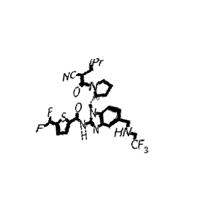 CC(C)CC(C#N)C(=O)N1CCC[C@@H]1Cn1c(NC(=O)c2ccc(C(F)F)s2)nc2cc(CNCC(F)(F)F)ccc21